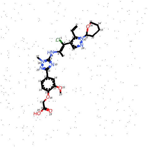 C=Cc1c(/C(Cl)=C(\C)Nc2nc(-c3ccc(OCC(=O)O)c(OC)c3)nn2C)cnn1C1CCCCO1